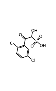 O=C(c1cc(Cl)ccc1Cl)C(O)S(=O)(=O)O